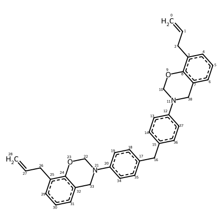 C=CCc1cccc2c1OCN(c1ccc(Cc3ccc(N4COc5c(CC=C)cccc5C4)cc3)cc1)C2